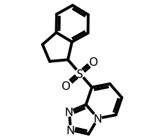 O=S(=O)(c1cccn2cnnc12)C1CCc2ccccc21